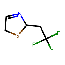 FC(F)(F)CC1N=CCS1